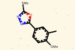 COc1ccc(-c2nnc(SC)o2)cc1C